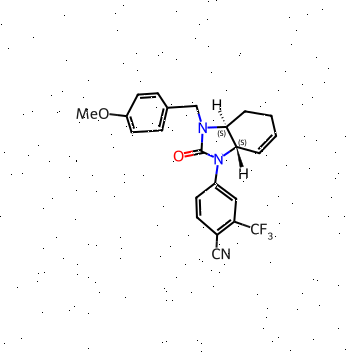 COc1ccc(CN2C(=O)N(c3ccc(C#N)c(C(F)(F)F)c3)[C@H]3C=CCC[C@@H]32)cc1